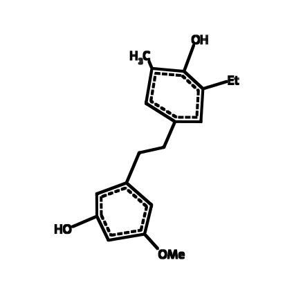 CCc1cc(CCc2cc(O)cc(OC)c2)cc(C)c1O